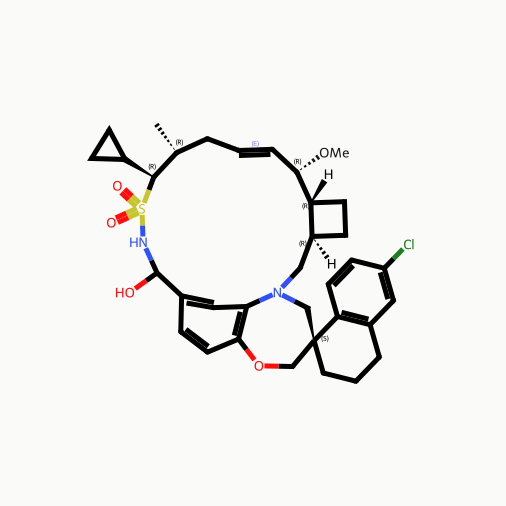 CO[C@H]1/C=C/C[C@@H](C)[C@H](C2CC2)S(=O)(=O)NC(O)c2ccc3c(c2)N(C[C@@H]2CC[C@H]21)C[C@@]1(CCCc2cc(Cl)ccc21)CO3